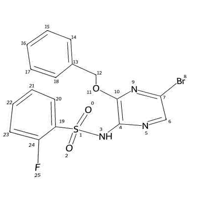 O=S(=O)(Nc1ncc(Br)nc1OCc1ccccc1)c1ccccc1F